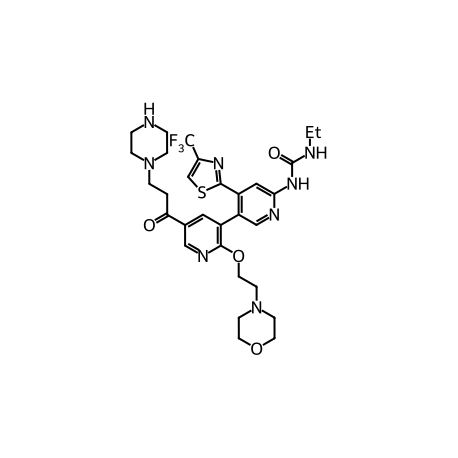 CCNC(=O)Nc1cc(-c2nc(C(F)(F)F)cs2)c(-c2cc(C(=O)CCN3CCNCC3)cnc2OCCN2CCOCC2)cn1